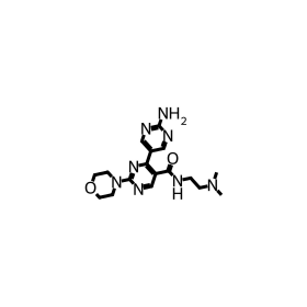 CN(C)CCNC(=O)c1cnc(N2CCOCC2)nc1-c1cnc(N)nc1